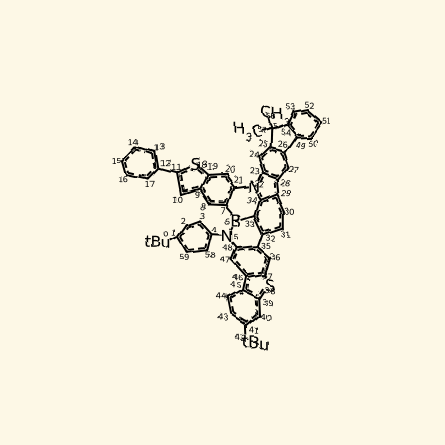 CC(C)(C)c1ccc(N2B3c4cc5cc(-c6ccccc6)sc5cc4-n4c5cc6c(cc5c5ccc(c3c54)-c3cc4sc5cc(C(C)(C)C)ccc5c4cc32)-c2ccccc2C6(C)C)cc1